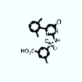 Cc1cc(C(=O)O)cc(S(=O)(=O)Nc2nc(Cl)cc(-c3c(C)cccc3C)n2)c1